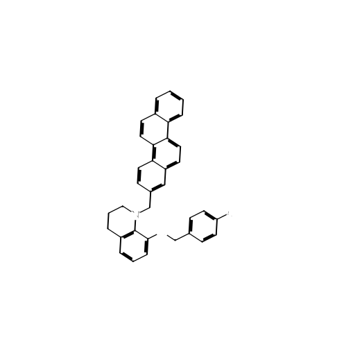 FC(F)(F)c1ccc(COc2cccc3c2N(Cc2ccc4c(ccc5c6ccccc6ccc45)c2)CCC3)cc1